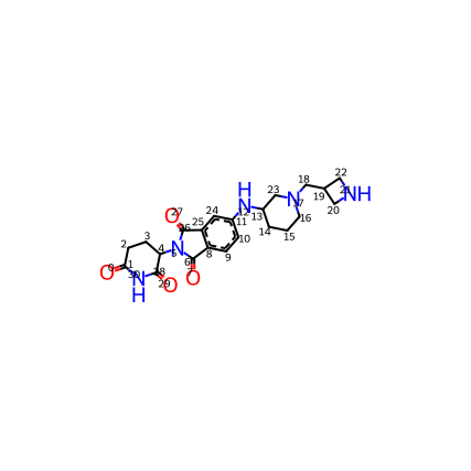 O=C1CCC(N2C(=O)c3ccc(NC4CCCN(CC5CNC5)C4)cc3C2=O)C(=O)N1